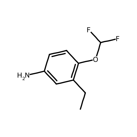 CCc1cc(N)ccc1OC(F)F